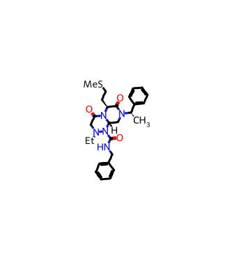 CCN1CC(=O)N2[C@@H](CCSC)C(=O)N([C@@H](C)c3ccccc3)C[C@@H]2N1C(=O)NCc1ccccc1